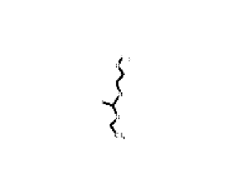 CCOC(I)OCCOC